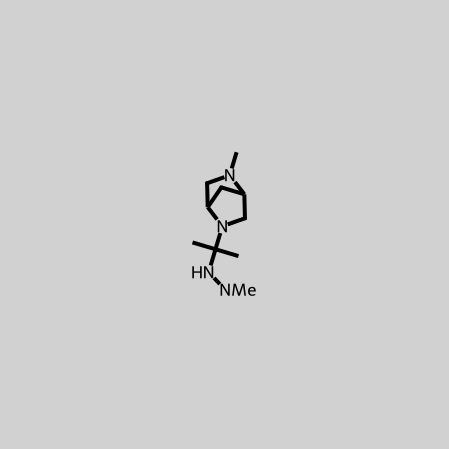 CNNC(C)(C)N1CC2CC1CN2C